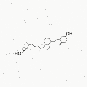 C=C1CC[C@H](O)C/C1=C/C=C1CCC[C@@]2(C)C1CC[C@@H]2[C@H](C)CCCC(C)COCO